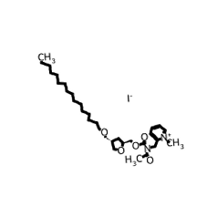 CCCCCCCCCCCCCCCCOC[C@H]1CO[C@H](COC(=O)N(Cc2cccc[n+]2C)C(C)=O)C1.[I-]